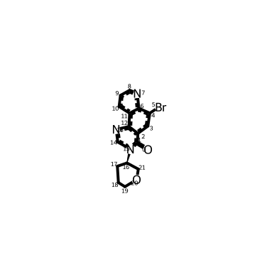 O=c1c2cc(Br)c3ncccc3c2ncn1[C@@H]1CCCOC1